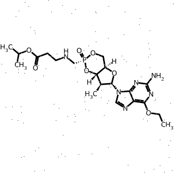 CCOc1nc(N)nc2c1ncn2[C@@H]1O[C@@H]2CO[P@@](=O)(CNCCC(=O)OC(C)C)O[C@H]2[C@@H]1C